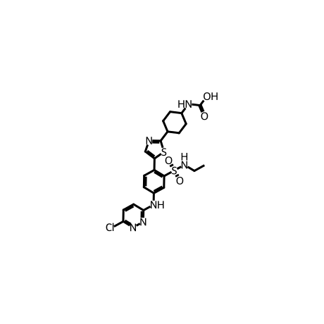 CCNS(=O)(=O)c1cc(Nc2ccc(Cl)nn2)ccc1-c1cnc(C2CCC(NC(=O)O)CC2)s1